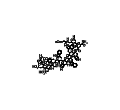 CCCCCCCCCCCC(=O)NCC(=O)N[C@@H](CS)C(=O)N[C@@H](CCC(N)=O)C(=O)N[C@@H](Cc1c[nH]cn1)C(=O)N[C@H](Cc1c[nH]c2ccccc12)C(=O)N[C@@H](Cc1c[nH]c2ccccc12)C(=O)N[C@@H](Cc1c[nH]cn1)C(=O)N[C@@H](Cc1c[nH]c2ccccc12)C(=O)N[C@@H](Cc1ccc(O)cc1)C(=O)N[C@@H](CS)C(=O)N[C@@H](CC(=O)O)C(=O)N[C@@H](CC(=O)O)C(=O)N[C@@H](CC(=O)O)C(N)=O